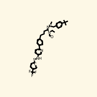 CCN(C=O)/C(CCCc1ccc(-c2ccc(NSc3ccc(C(F)(F)F)cc3)cn2)cc1)=N\N(C)Cc1ccc(C(C)(C)C)cc1